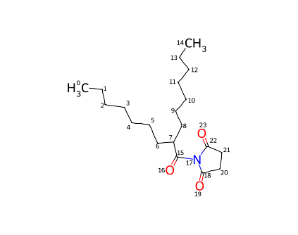 CCCCCCCC(CCCCCCC)C(=O)N1C(=O)CCC1=O